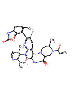 C=CC(=O)N1CC2C(=O)Nc3c(c4cc(Cl)c(-c5c(C)ccc6[nH]c(=O)oc56)nc4n(-c4c(C)ccnc4C(C)C)c3=O)N2CC1C